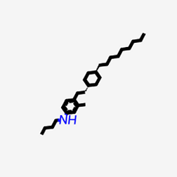 CCCCCCCCC[C@H]1CC[C@H](CCc2ccc(NCCCC)cc2C)CC1